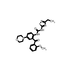 CCc1nsc(NC(=O)Nc2ccc(N3CCOCC3)cc2C(=O)c2ccccc2OC)n1